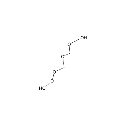 OOCOCOOO